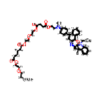 CCN(CCOC(=O)CCC(=O)OCCOCCOC(=O)CCCCC(=O)OCCOCCOC)c1ccc(-c2cc3c(c4ccccc24)OC2(C=N3)N(CC(C)(C)C)c3ccccc3C2(C)C)cc1